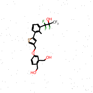 Cc1c(-c2cc(COc3ccc(CO)c(CO)c3)cs2)cccc1C(F)(F)C(O)(F)C(F)(F)F